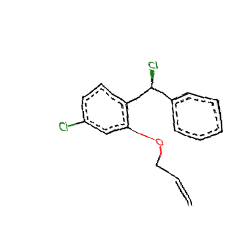 C=CCOc1cc(Cl)ccc1[C@@H](Cl)c1ccccc1